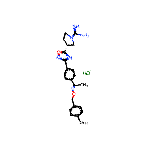 C/C(=N\OCc1ccc(C(C)(C)C)cc1)c1ccc(-c2noc([C@@H]3CCN(C(=N)N)C3)n2)cc1.Cl